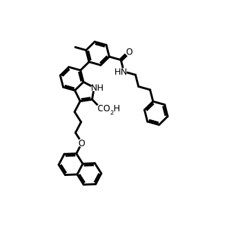 Cc1ccc(C(=O)NCCCc2ccccc2)cc1-c1cccc2c(CCCOc3cccc4ccccc34)c(C(=O)O)[nH]c12